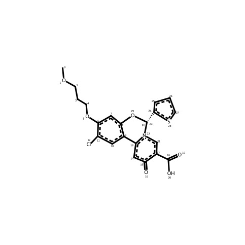 COCCCOc1cc2c(cc1Cl)-c1cc(=O)c(C(=O)O)cn1[C@@H](c1cccs1)O2